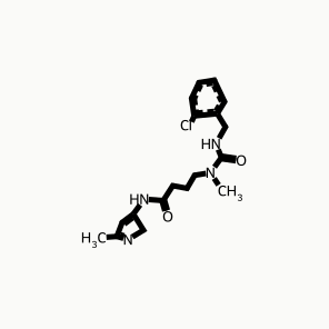 CC1=NCC(NC(=O)CCCN(C)C(=O)NCc2ccccc2Cl)=C1